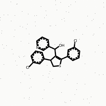 OC(C1=C(c2cccc(Cl)c2)SCC1c1cccc(Cl)c1)c1cccnc1